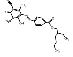 CCCCC(CC)COC(=O)c1ccc(/N=N/c2c(C)c(C#N)c(=O)n(N)c2O)cc1